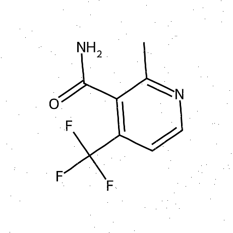 Cc1nccc(C(F)(F)F)c1C(N)=O